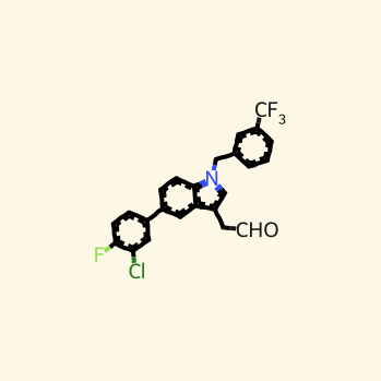 O=CCc1cn(Cc2cccc(C(F)(F)F)c2)c2ccc(-c3ccc(F)c(Cl)c3)cc12